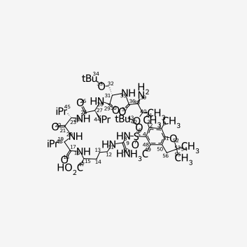 Cc1c(C)c(S(=O)(=O)NC(=N)NCCC[C@H](NC(=O)[C@@H](NC(=O)[C@@H](NC(=O)[C@@H](NC(=O)[C@H](COC(C)(C)C)NC(=O)[C@@H](N)[C@@H](C)OC(C)(C)C)C(C)C)C(C)C)C(C)C)C(=O)O)c(C)c2c1OC(C)(C)C2